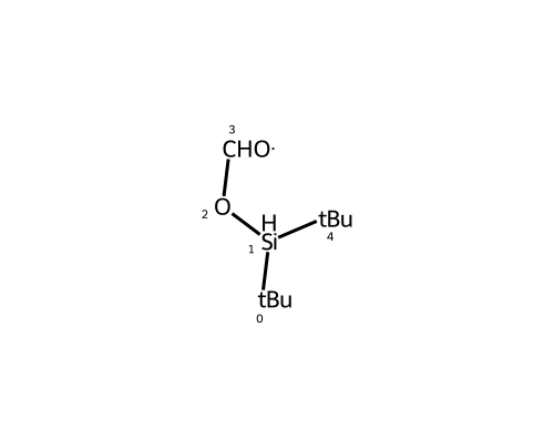 CC(C)(C)[SiH](O[C]=O)C(C)(C)C